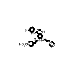 O=C(C=C1CCN(C(=O)O)CC1)Nc1cc2c(cc1OCCCN1CCOCC1)NCN=C2Nc1cccc(Br)c1